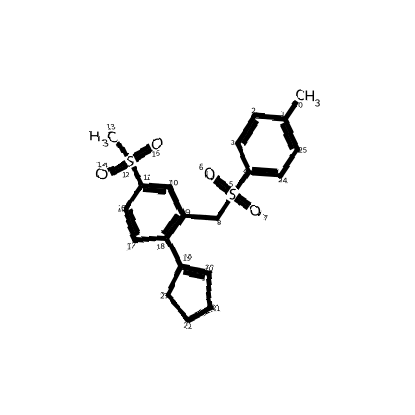 Cc1ccc(S(=O)(=O)Cc2cc(S(C)(=O)=O)ccc2C2=CCCC2)cc1